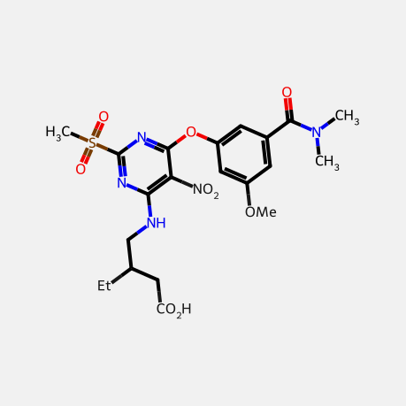 CCC(CNc1nc(S(C)(=O)=O)nc(Oc2cc(OC)cc(C(=O)N(C)C)c2)c1[N+](=O)[O-])CC(=O)O